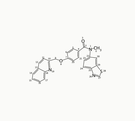 CN(C(=O)c1ccc(OCc2ccc3ccccc3n2)cc1)c1ccc2ncsc2c1